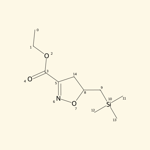 CCOC(=O)C1=NOC(C[Si](C)(C)C)C1